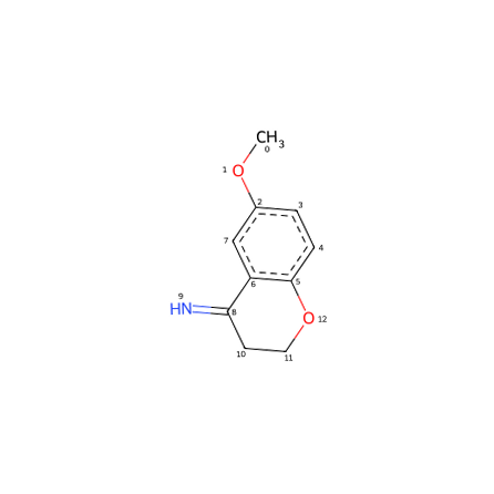 COc1ccc2c(c1)C(=N)CCO2